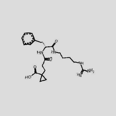 N=C(N)NCCCCNC(=O)[C@@H](Cc1ccccc1)NC(=O)CCC1(C(=O)O)CC1